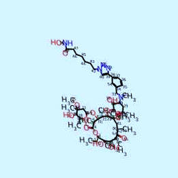 CC[C@H]1OC(=O)[C@H](C)[C@@H](O[C@H]2C[C@@](C)(OC)[C@@H](O)[C@H](C)O2)[C@H](C)[C@@H](O[C@@H]2O[C@H](C)C[C@H](N(C)Cc3cccc(-c4cn(CCCCCCC(=O)NO)nn4)c3)[C@H]2O)[C@](C)(OC)C[C@@H](C)C(=O)[C@H](C)[C@@H](O)[C@]1(C)O